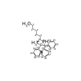 CCCCCCCPC(c1ccccc1)(c1ccccc1)C(C)c1ccccc1